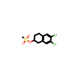 CS(=O)(=O)OC1CCc2cc(Cl)c(Cl)cc2C1